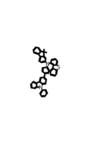 CC1(C)c2ccccc2-c2ccc(N(c3ccc(-c4ccc5c(c4)c4ccccc4n5-c4ccccc4)cc3)c3cccc4sc5ccccc5c34)cc21